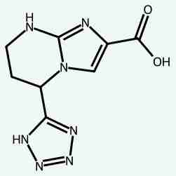 O=C(O)c1cn2c(n1)NCCC2c1nnn[nH]1